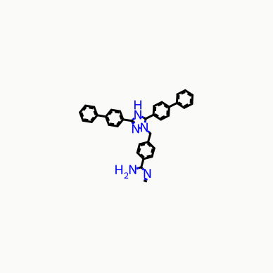 C=NC(N)c1ccc(CN2N=C(c3ccc(-c4ccccc4)cc3)NC2c2ccc(-c3ccccc3)cc2)cc1